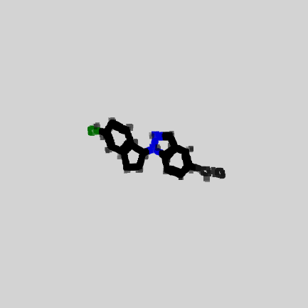 O=Cc1ccc2c(cnn2C2CCc3cc(Cl)ccc32)c1